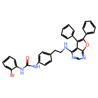 O=C(Nc1ccc(CCNc2ncnc3oc(-c4ccccc4)c(-c4ccccc4)c23)cc1)Nc1ccccc1Br